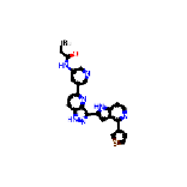 CC(C)(C)CC(=O)Nc1cncc(-c2ccc3[nH]nc(-c4cc5c(-c6ccsc6)nccc5[nH]4)c3n2)c1